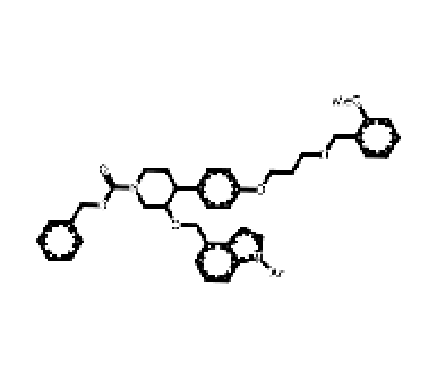 COc1ccccc1COCCCOc1ccc(C2CCN(C(=O)OCc3ccccc3)CC2OCc2cccc3c2ccn3C(C)=O)cc1